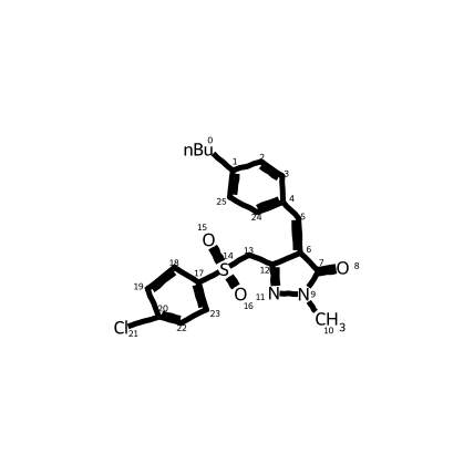 CCCCc1ccc(/C=C2/C(=O)N(C)N=C2CS(=O)(=O)c2ccc(Cl)cc2)cc1